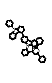 C1=CCC(c2nc(-c3ccccc3)cc(-c3ccccc3-n3c4ccccc4c4cc(-c5cccc6c5c5ccccc5n6-c5ccccc5)ccc43)n2)C=C1